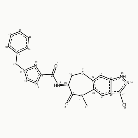 CN1C(=O)[C@@H](NC(=O)c2ncn(Cc3ccccc3)n2)CSc2cc3[nH]nc(Cl)c3cc21